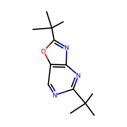 CC(C)(C)c1ncc2oc(C(C)(C)C)nc2n1